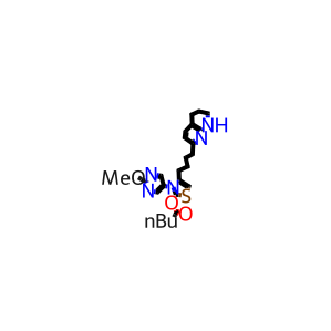 CCCCC(=O)OC1SC=C(CCCCc2ccc3c(n2)NCCC3)N1c1cnc(OC)nc1